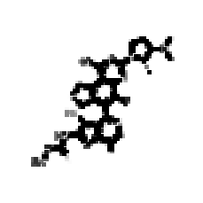 C[C@H]1[C@@H](N(C)C)CCN1c1nc(O)c2c3c(c(-c4ncc(F)c5sc(NC(=O)OC(C)(C)C)c(C#N)c45)c(F)c2n1)COC3